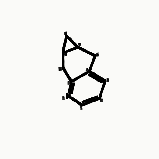 c1cnc2c(c1)CC1CC1C2